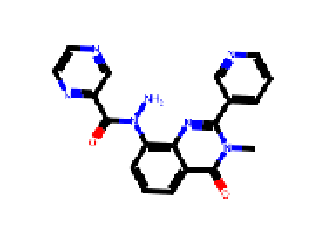 Cn1c(-c2cccnc2)nc2c(N(N)C(=O)c3cnccn3)cccc2c1=O